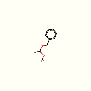 CCOC(C)OCc1ccccc1